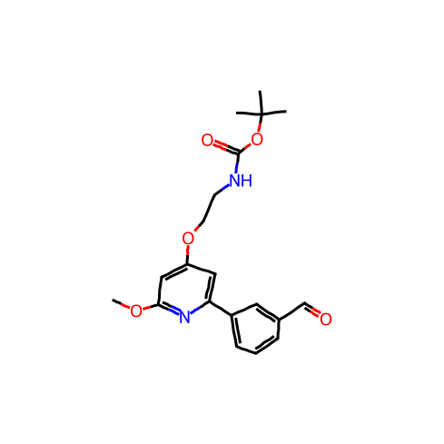 COc1cc(OCCNC(=O)OC(C)(C)C)cc(-c2cccc(C=O)c2)n1